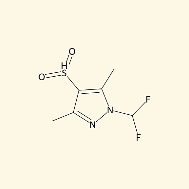 Cc1nn(C(F)F)c(C)c1[SH](=O)=O